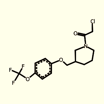 O=C(CCl)N1CCCC(COc2ccc(OC(F)(F)F)cc2)C1